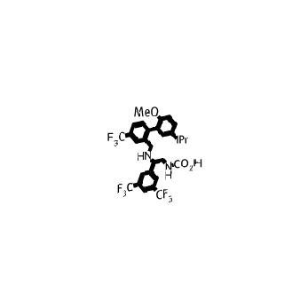 COc1ccc(C(C)C)cc1-c1ccc(C(F)(F)F)cc1CNC(CNC(=O)O)c1cc(C(F)(F)F)cc(C(F)(F)F)c1